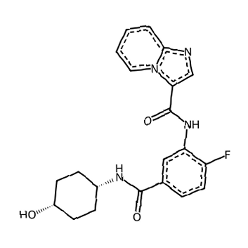 O=C(N[C@H]1CC[C@@H](O)CC1)c1ccc(F)c(NC(=O)c2cnc3ccccn23)c1